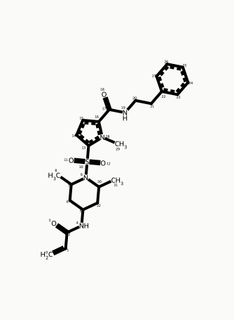 C=CC(=O)NC1CC(C)N(S(=O)(=O)c2ccc(C(=O)NCCc3ccccc3)n2C)C(C)C1